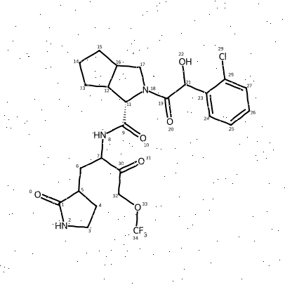 O=C1NCCC1CC(NC(=O)[C@@H]1C2CCCC2CN1C(=O)C(O)c1ccccc1Cl)C(=O)COC(F)(F)F